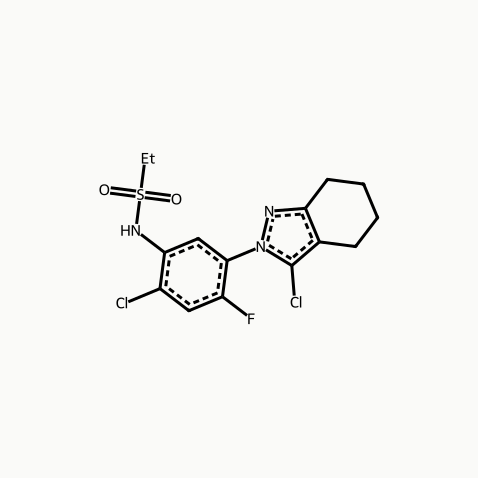 CCS(=O)(=O)Nc1cc(-n2nc3c(c2Cl)CCCC3)c(F)cc1Cl